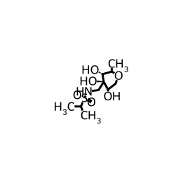 CC1OCC(O)[C@](O)(CNS(=O)(=O)C(C)C)[C@@H]1O